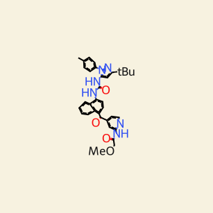 COCC(=O)Nc1cc(C(=O)c2ccc(NC(=O)Nc3cc(C(C)(C)C)nn3-c3ccc(C)cc3)c3ccccc23)ccn1